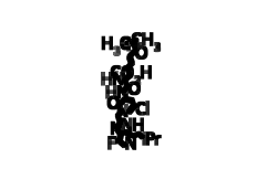 CC(C)Cc1ncc(F)c2nc(Cn3cc(Cl)cc(NC(=O)C(CC/C=C/C(=O)N(C)C)NC(=O)O)c3=O)[nH]c12